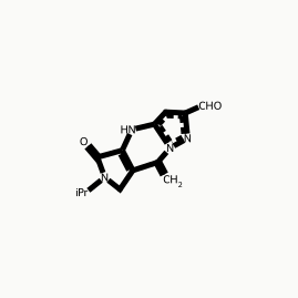 C=C1C2=C(Nc3cc(C=O)nn31)C(=O)N(C(C)C)C2